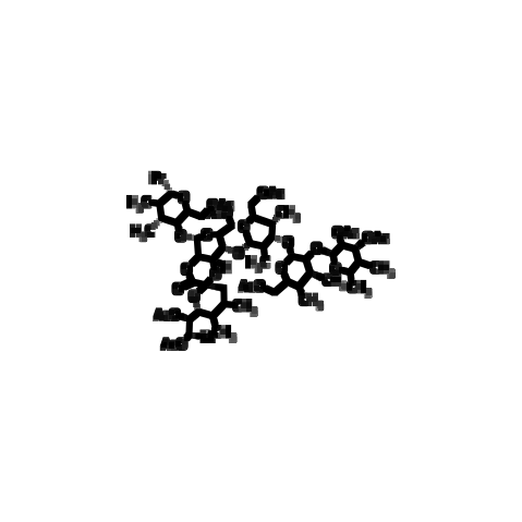 CC[C@@H](OC(C)=O)[C@@H](OC(C)=O)[C@@H]1O[C@@]2(CC(C)C1C)O[C@@H]1C(OC2=O)[C@H](O[C@@H]2C(COC(C)=O)O[C@@H](C(C)C)C(C)[C@H]2C)OC(COC(C)=O)[C@@H]1O[C@@H]1OC(COC(C)=O)[C@H](C)[C@H](O[C@@H]2OC(COC(C)=O)[C@H](C)[C@H](C)C2O[C@@H]2OC(C)C(C)[C@H](OC(C)=O)C2OC(C)=O)C1C